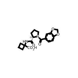 O=C(NC1(C(=O)O)CCC1)[C@@H]1CCCN1C(=O)c1ccc2c(c1)OCO2